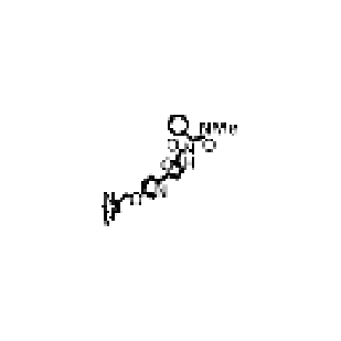 CNC(=O)C(NC(=O)c1ccc(-c2ccc(OCc3cn(C)cn3)cn2)o1)C1CCCCC1